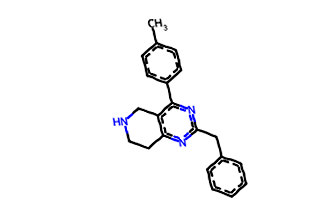 Cc1ccc(-c2nc(Cc3ccccc3)nc3c2CNCC3)cc1